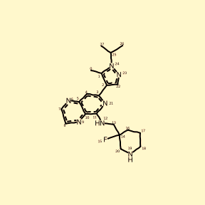 Cc1c(-c2cc3nccnc3c(NCC3(F)CCCNC3)n2)cnn1C(C)C